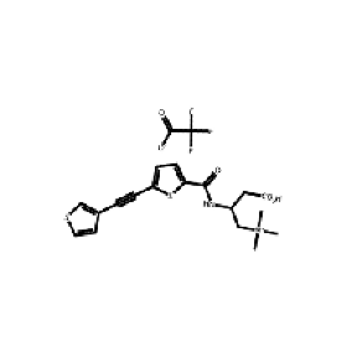 C[N+](C)(C)CC(CC(=O)O)NC(=O)c1ccc(C#Cc2ccsc2)s1.O=C([O-])C(F)(F)F